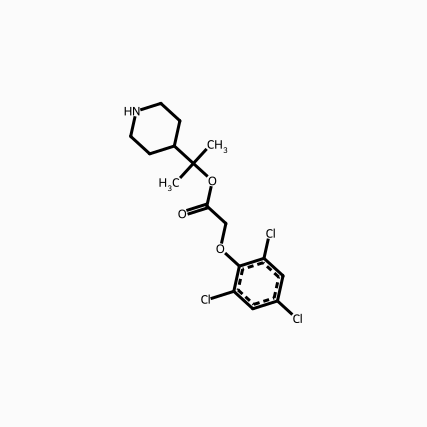 CC(C)(OC(=O)COc1c(Cl)cc(Cl)cc1Cl)C1CCNCC1